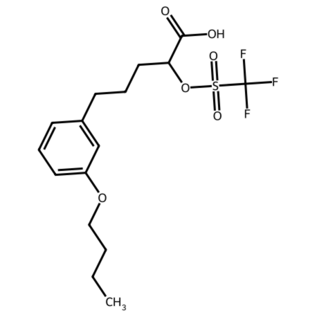 CCCCOc1cccc(CCCC(OS(=O)(=O)C(F)(F)F)C(=O)O)c1